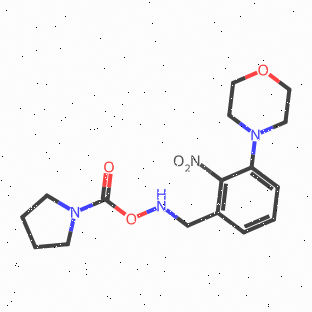 O=C(ONCc1cccc(N2CCOCC2)c1[N+](=O)[O-])N1CCCC1